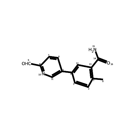 Cc1ccc(-c2ccc(C=O)nc2)cc1C(N)=O